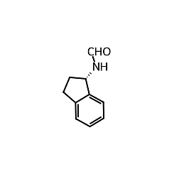 O=CN[C@H]1CCc2ccccc21